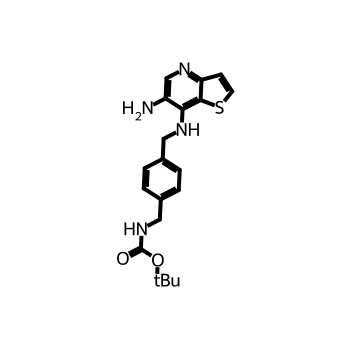 CC(C)(C)OC(=O)NCc1ccc(CNc2c(N)cnc3ccsc23)cc1